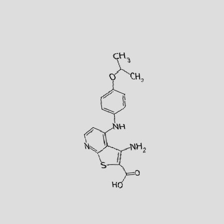 CC(C)Oc1ccc(Nc2ccnc3sc(C(=O)O)c(N)c23)cc1